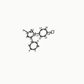 Cc1cc(-c2ccccc2)n(-c2ccc(Cl)cc2)n1